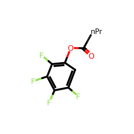 CCCC(=O)Oc1cc(F)c(F)c(F)c1F